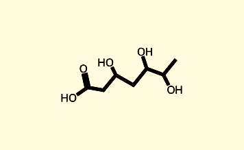 CC(O)C(O)CC(O)CC(=O)O